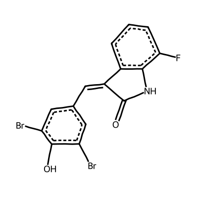 O=C1Nc2c(F)cccc2C1=Cc1cc(Br)c(O)c(Br)c1